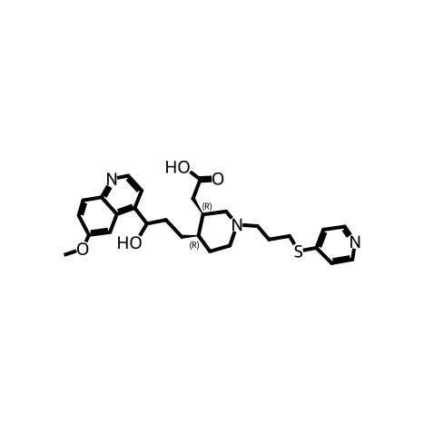 COc1ccc2nccc(C(O)CC[C@@H]3CCN(CCCSc4ccncc4)C[C@@H]3CC(=O)O)c2c1